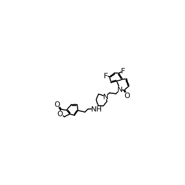 O=C1OCc2cc(CCNC3CCN(CCn4c(=O)ccc5c(F)cc(F)cc54)CC3)ccc21